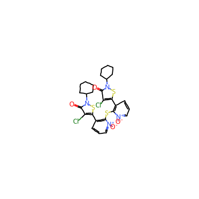 O=c1c(Cl)c(-c2ccc[n+]([O-])c2Sc2c(-c3sn(C4CCCCC4)c(=O)c3Cl)ccc[n+]2[O-])sn1C1CCCCC1